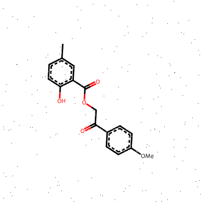 COc1ccc(C(=O)COC(=O)c2cc(C)ccc2O)cc1